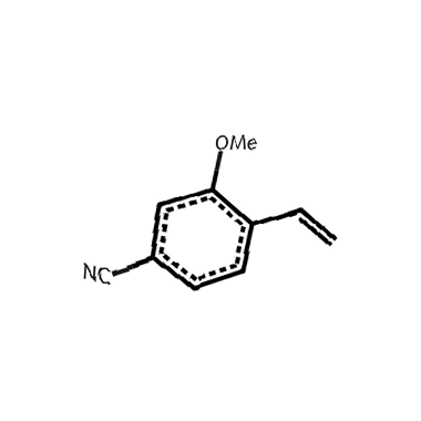 C=Cc1ccc(C#N)cc1OC